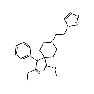 CCC(=O)N(c1ccccc1)C1(C(=O)OC)CCN(CCn2ccnn2)CC1